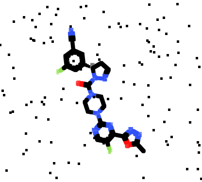 Cc1nnc(-c2nc(N3CCN(C(=O)N4N=CC[C@H]4c4cc(F)cc(C#N)c4)CC3)ncc2F)o1